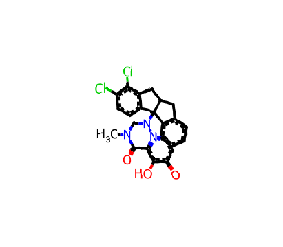 CN1CN(C23c4ccccc4CC2Cc2c3ccc(Cl)c2Cl)n2ccc(=O)c(O)c2C1=O